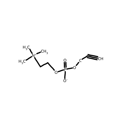 C#CCOP(=O)([O-])OCC[N+](C)(C)C